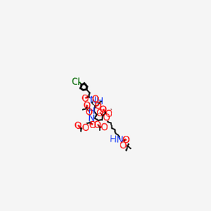 COC(=O)[C@@]1(OCCCCCCNC(=O)OC(C)(C)C)C[C@H](OC(C)=O)[C@@H](NC(=O)COC(C)=O)[C@H]([C@H](OC(C)=O)[C@@H](CNC(=O)Cc2ccc(Cl)cc2)OC(C)=O)O1